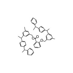 Cc1cc(COC(=O)c2ccccc2OCc2cc(C)cc(C(C)c3ccc(C(C)c4ccccc4)cc3)c2)cc(C(C)c2ccc(C(C)c3ccccc3)cc2)c1